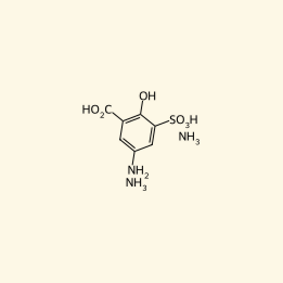 N.N.Nc1cc(C(=O)O)c(O)c(S(=O)(=O)O)c1